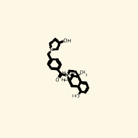 CC1(C)[C@H]2Cc3c(O)cccc3[C@]1(C)CCN2C(=O)c1ccc(CN2CCC(O)C2)cc1